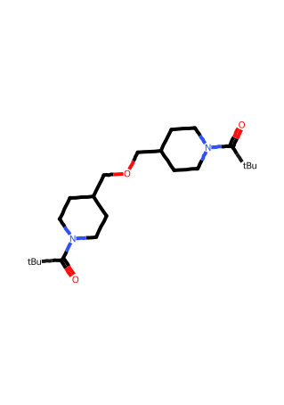 CC(C)(C)C(=O)N1CCC(COCC2CCN(C(=O)C(C)(C)C)CC2)CC1